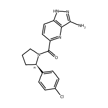 Nc1n[nH]c2ccc(C(=O)N3CCC[C@@H]3c3ccc(Cl)cc3)nc12